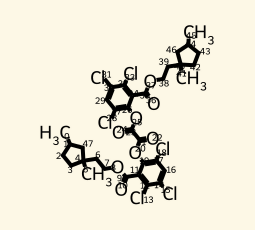 CC1CCC(C)(CCOC(=O)c2c(Cl)c(Cl)cc(Cl)c2OC(=O)C(=O)Oc2c(Cl)cc(Cl)c(Cl)c2C(=O)OCCC2(C)CCC(C)C2)C1